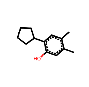 Cc1cc(O)c(C2CCCC2)cc1C